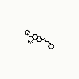 CC1c2ccc(OCCN3CCCCC3)cc2CCC1CN1CCCC1